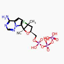 C[C@@]1(F)C[C@@H](COP(=O)(O)OP(=O)(O)OP(=O)(O)O)O[C@@]1(C#N)c1ccc2c(N)ncnn12